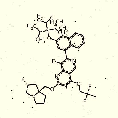 Cc1c(O[Si](C(C)C)(C(C)C)C(C)C)cc(-c2ncc3c(OCC(F)(F)F)nc(OC[C@@]45CCCN4C[C@H](F)C5)nc3c2F)c2ccccc12